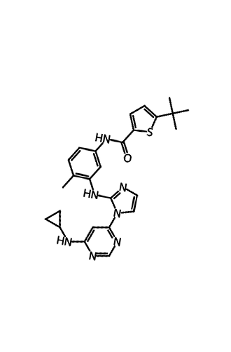 Cc1ccc(NC(=O)c2ccc(C(C)(C)C)s2)cc1Nc1nccn1-c1cc(NC2CC2)ncn1